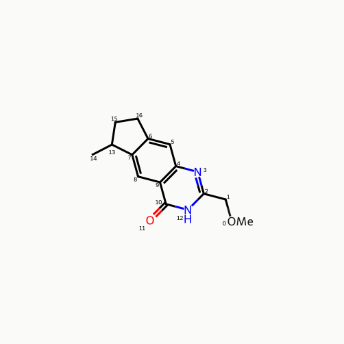 COCc1nc2cc3c(cc2c(=O)[nH]1)C(C)CC3